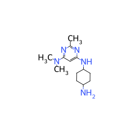 Cc1nc(NC2CCC(N)CC2)cc(N(C)C)n1